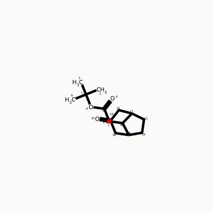 CC(C)(C)OC(=O)NC1C2CCC1CC(=O)C2